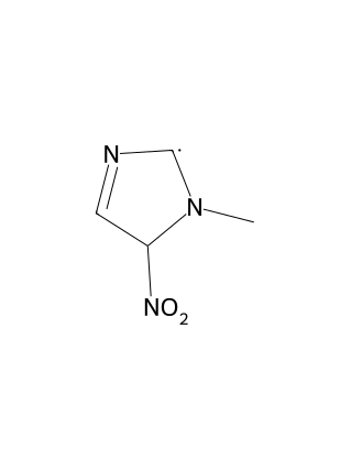 CN1[CH]N=CC1[N+](=O)[O-]